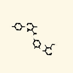 O=NCc1nccc(Oc2ccc(NC(=O)c3c(I)ccn(-c4ccc(F)cc4)c3=O)cc2F)c1Cl